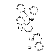 C=C(NC(c1ccccc1)(c1ccccc1)c1ccccc1)S/C(=C\N)C(=O)Nc1c(C)cccc1Cl